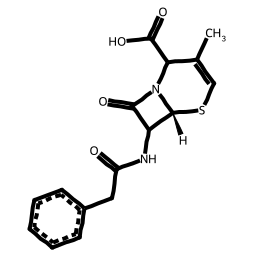 CC1=CS[C@@H]2C(NC(=O)Cc3ccccc3)C(=O)N2C1C(=O)O